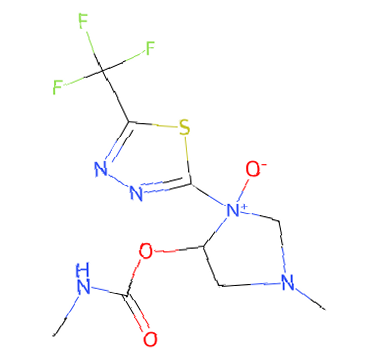 CNC(=O)OC1CN(C)C[N+]1([O-])c1nnc(C(F)(F)F)s1